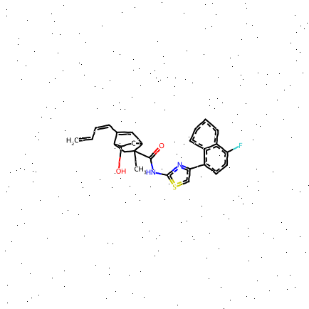 C=C/C=C\C1=CC2CC(O)C1CC2(C)C(=O)Nc1nc(-c2ccc(F)c3ccccc23)cs1